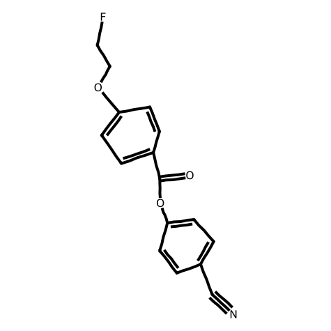 N#Cc1ccc(OC(=O)c2ccc(OCCF)cc2)cc1